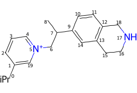 CC(C)c1ccc[n+](CC(C)c2ccc3c(c2)CCNC3)c1